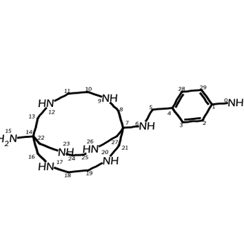 Nc1ccc(CNC23CNCCNCC(N)(CNCCNC2)CNCCNC3)cc1